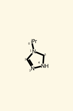 CC(C)N1C=NNC1